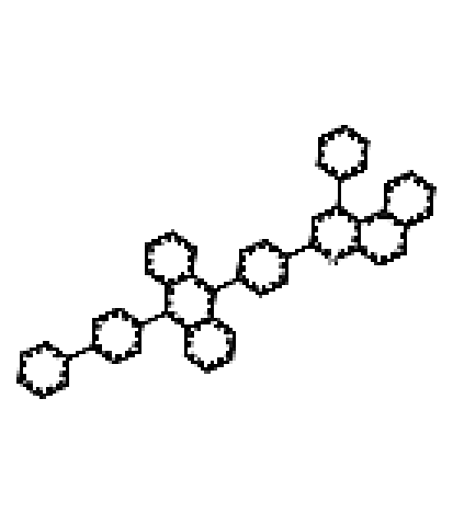 c1ccc(-c2ccc(-c3c4ccccc4c(-c4ccc(-c5cc(-c6ccccc6)c6c(ccc7ccccc76)n5)cc4)c4ccccc34)cc2)cc1